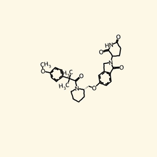 COc1ccc(C(C)(C)C(=O)N2CCCC[C@H]2COc2ccc3c(c2)CN(C2CCC(=O)NC2=O)C3=O)cc1